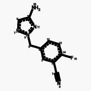 N#Cc1cc(Cn2ncc(N)n2)ccc1F